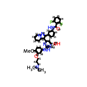 COc1ccc(Nc2nccc(-c3c(-c4cccc(NC(=O)c5c(F)cccc5F)c4)nn4ccccc34)n2)cc1OCCCN(C)C.O=CO